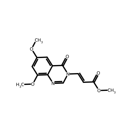 COC(=O)C=Cn1cnc2c(OC)cc(OC)cc2c1=O